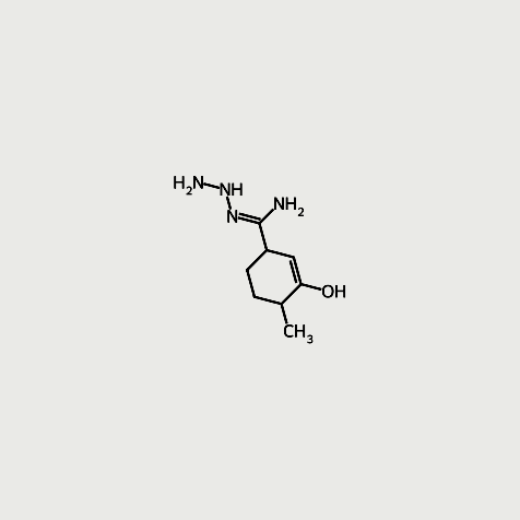 CC1CCC(/C(N)=N/NN)C=C1O